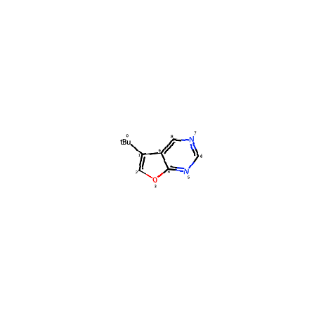 CC(C)(C)c1coc2ncncc12